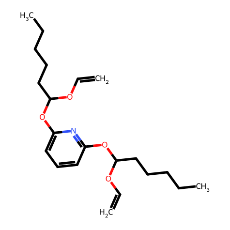 C=COC(CCCCC)Oc1cccc(OC(CCCCC)OC=C)n1